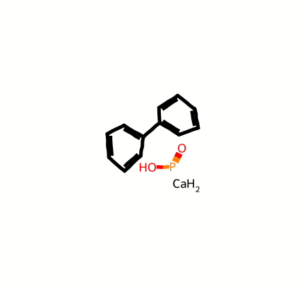 O=PO.[CaH2].c1ccc(-c2ccccc2)cc1